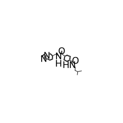 CC(C)CCNC(=O)c1ccc(C(=O)NCc2ccc3nccn3c2)cc1